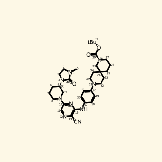 CN1CCN([C@@H]2CCCN(c3cnc(C#N)c(Nc4ccc(N5CCC6(CCCN(C(=O)OC(C)(C)C)C6)CC5)cc4)n3)C2)C1=O